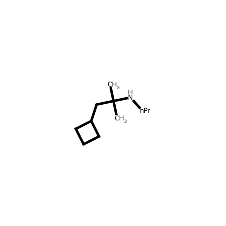 CCCNC(C)(C)CC1CCC1